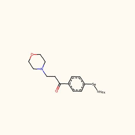 CCCCCC[Se]c1ccc(C(=O)CCN2CCOCC2)cc1